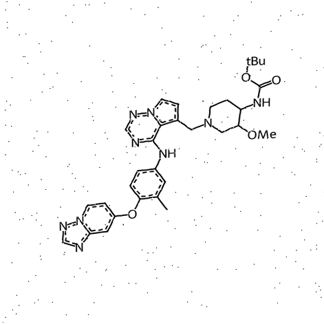 COC1CN(Cc2ccn3ncnc(Nc4ccc(Oc5ccn6ncnc6c5)c(C)c4)c23)CCC1NC(=O)OC(C)(C)C